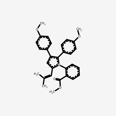 COC(=O)c1ccccc1-n1c(C=C(C)C)cc(-c2ccc(OC)cc2)c1-c1ccc(OC)cc1